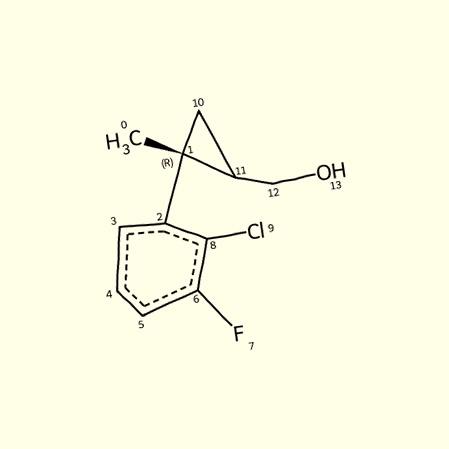 C[C@@]1(c2cccc(F)c2Cl)CC1CO